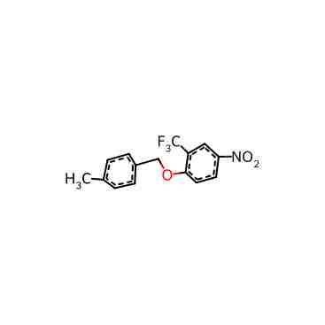 Cc1ccc(COc2ccc([N+](=O)[O-])cc2C(F)(F)F)cc1